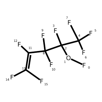 FOC(F)(C(F)(F)F)C(F)(F)C(F)=C(F)F